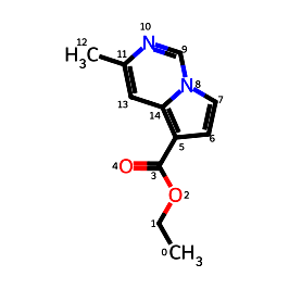 CCOC(=O)c1ccn2cnc(C)cc12